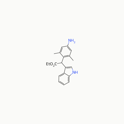 CCOC(=O)C(c1c(C)cc(N)cc1C)c1c[nH]c2ccccc12